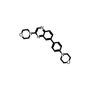 c1cc(N2CCOCC2)ccc1-c1ccc2ncc(N3CCOCC3)nc2c1